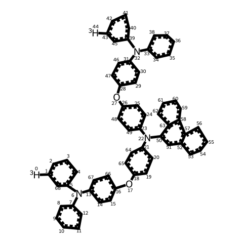 [3H]c1cccc(N(c2ccccc2)c2ccc(Oc3ccc(N(c4ccc(Oc5ccc(N(c6ccccc6)c6cccc([3H])c6)cc5)cc4)c4cc5ccccc5c5ccccc45)cc3)cc2)c1